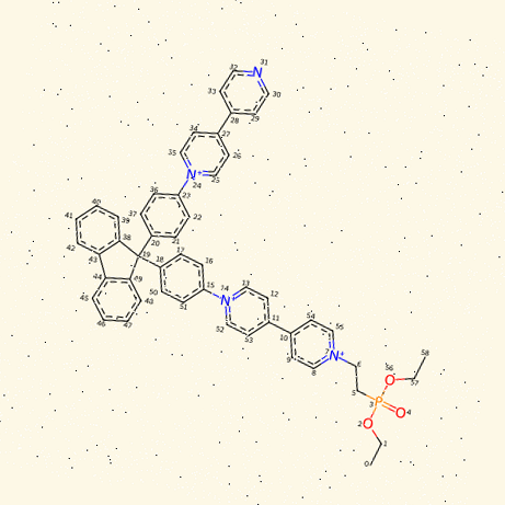 CCOP(=O)(CC[n+]1ccc(-c2cc[n+](-c3ccc(C4(c5ccc(-[n+]6ccc(-c7ccncc7)cc6)cc5)c5ccccc5-c5ccccc54)cc3)cc2)cc1)OCC